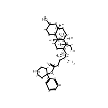 C[C@H](CCC(=O)OC1(c2ccccc2)CCNCC1)[C@H]1CC[C@H]2[C@@H]3CC[C@@H]4CC(O)CC[C@]4(C)[C@H]3CC[C@]12C